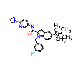 CC(C)[Si](C)(C)c1ccc2c(c1)cc(C(=O)Nc1ccc(N3CCC3)nc1)n2Cc1cccc(F)c1